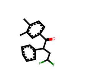 Cc1ccc(C(=O)C(CC(F)F)c2ccccc2)cc1C